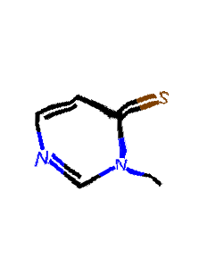 Cn1cnccc1=S